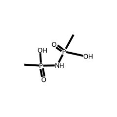 CP(=O)(O)NP(C)(=O)O